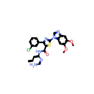 C=C/C=C(\N=C/N)NC(=O)c1sc(-n2cnc3cc(OC)c(OC)cc32)nc1-c1cccc(Cl)c1